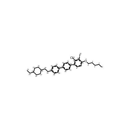 CCCCCOc1ccc(-c2ccc(-c3ccc(CCC4CCC(CC)CC4)cc3)cc2)c(Cl)c1F